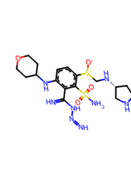 N=NNC(=N)c1c(NC2CCOCC2)ccc([S+]([O-])CN[C@@H]2CCNC2)c1S(N)(=O)=O